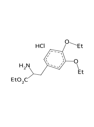 CCOC(=O)C(N)Cc1ccc(OCC)c(OCC)c1.Cl